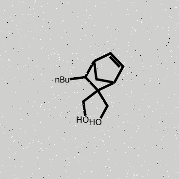 CCCCC1C2C=CC(C2)C1(CO)CO